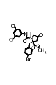 COC(=O)[C@]1(Cc2ccc(Br)cc2)CC(=O)CN1C(=O)Nc1cc(Cl)cc(Cl)c1